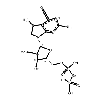 CO[C@@H]1[C@H](O)[C@@H](COP(=O)(O)[Se]P(=O)(O)O)O[C@H]1N1CN(C)c2c1nc(N)[nH]c2=O